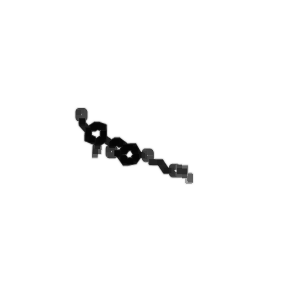 CCCCOc1ccc2oc(-c3ccc(C=O)cc3F)cc2c1